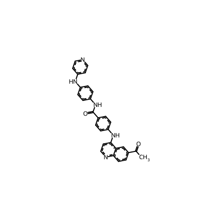 CC(=O)c1ccc2nccc(Nc3ccc(C(=O)Nc4ccc(Nc5ccncc5)cc4)cc3)c2c1